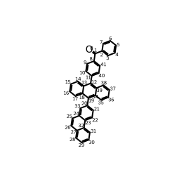 O=C(c1ccccc1)c1ccc(-c2c3ccccc3c(-c3ccc4c(ccc5ccccc54)c3)c3ccccc23)cc1